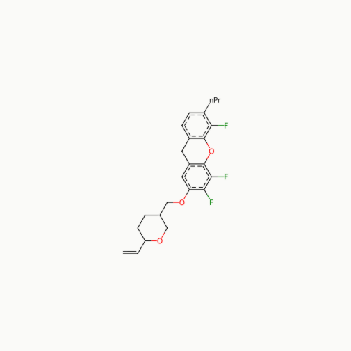 C=CC1CCC(COc2cc3c(c(F)c2F)Oc2c(ccc(CCC)c2F)C3)CO1